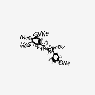 CCCCc1sc(NC(=O)c2cc(OC)c(OC)c(OC)c2)nc1-c1ccc(OC)cc1